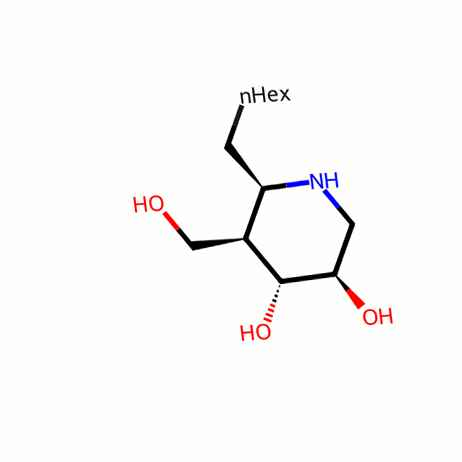 CCCCCCC[C@H]1NC[C@@H](O)[C@H](O)[C@H]1CO